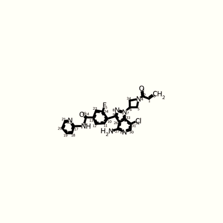 C=CC(=O)N1CC(n2nc(-c3ccc(C(=O)Nc4ccccn4)cc3F)c3c(N)ncc(Cl)c32)C1